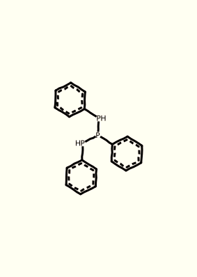 c1ccc(PP(Pc2ccccc2)c2ccccc2)cc1